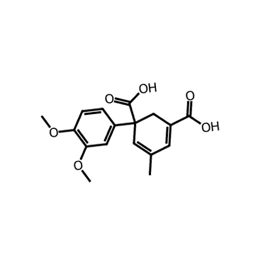 COc1ccc(C2(C(=O)O)C=C(C)C=C(C(=O)O)C2)cc1OC